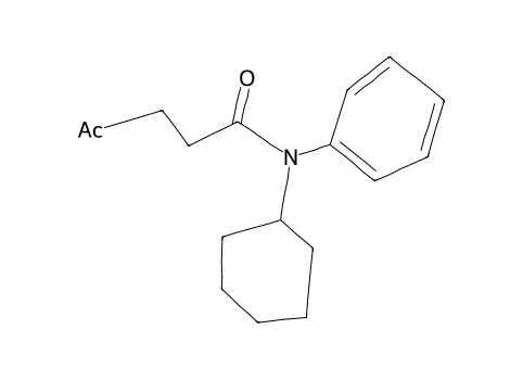 CC(=O)CCC(=O)N(c1ccccc1)C1CCCCC1